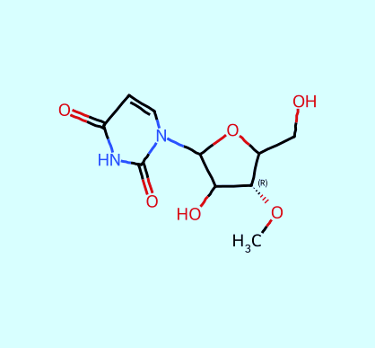 CO[C@H]1C(CO)OC(n2ccc(=O)[nH]c2=O)C1O